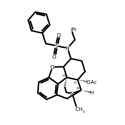 CC(=O)O[C@@]12CCC(N(CC(C)C)S(=O)(=O)Cc3ccccc3)C3Oc4cccc5c4[C@@]31CCN(C)[C@@H]2C5